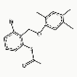 CC(=O)Sc1cccc(Br)c1COc1cc(C)c(C)cc1C